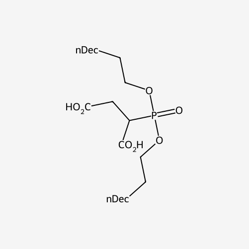 CCCCCCCCCCCCOP(=O)(OCCCCCCCCCCCC)C(CC(=O)O)C(=O)O